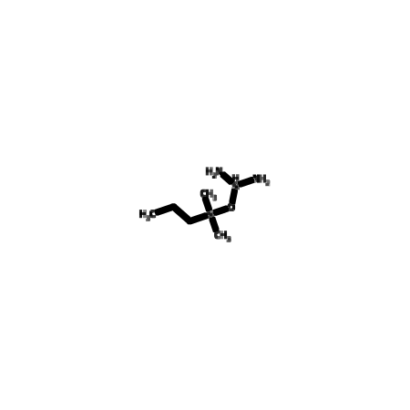 CCC[Si](C)(C)O[SiH](N)N